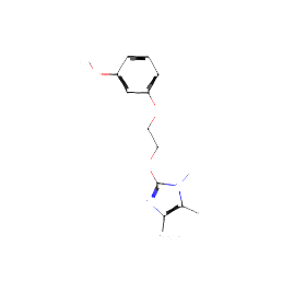 CCn1c(OCCOc2cccc(OC(F)(F)F)c2)nc(NC)c1C=O